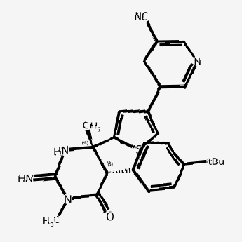 CN1C(=N)N[C@](C)(c2cc(C3C=NC=C(C#N)C3)cs2)[C@H](c2ccc(C(C)(C)C)cc2)C1=O